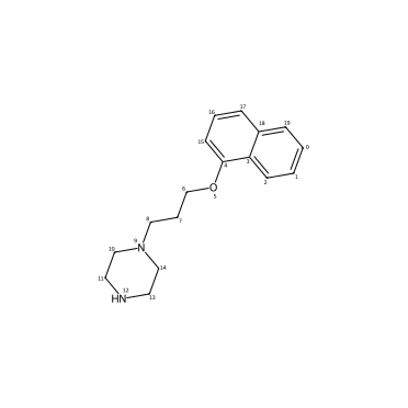 c1ccc2c(OCCCN3CCNCC3)cccc2c1